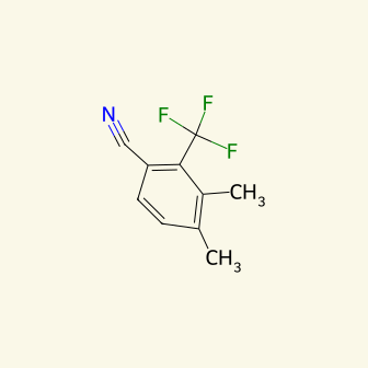 Cc1ccc(C#N)c(C(F)(F)F)c1C